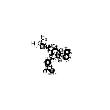 CC(C)(C)CNC(=O)C[C@H](C(=O)N[C@@H](CCc1ccccc1)C(=O)N[C@@H]1CCCc2ccccc21)C1OCC1C(N)=O.NC(=O)c1cccs1